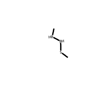 CBBSC